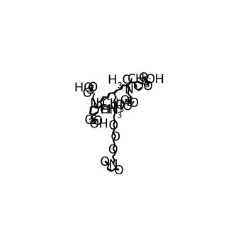 CC1(C)C(/C=C/C=C(/C=C/C=C2/N(CCS(=O)(=O)O)c3ccc(S(=O)(=O)O)cc3C2(C)C)CCC(=O)NCCCOCCOCCOCCCN2C(=O)C=CC2=O)=[N+](CCS(=O)(=O)O)c2ccc(S(=O)(=O)O)cc21